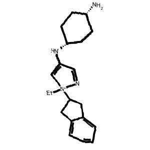 CC[N+]1(C2Cc3ccccc3C2)C=C(N[C@H]2CC[C@@H](N)CC2)C=N1